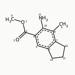 COC(=O)c1cc2c(c(C)c1N)CCC2